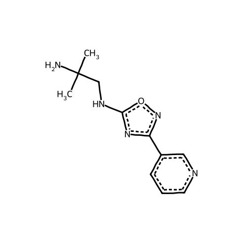 CC(C)(N)CNc1nc(-c2cccnc2)no1